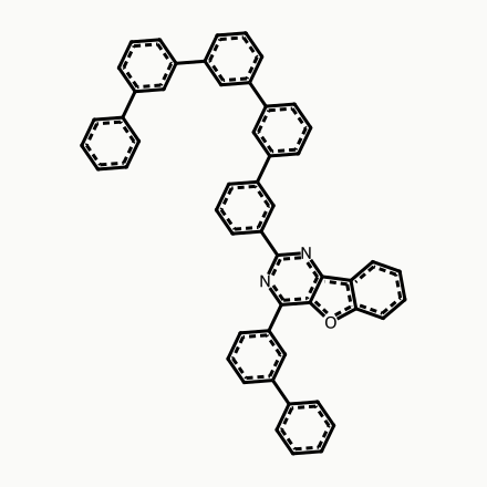 c1ccc(-c2cccc(-c3cccc(-c4cccc(-c5cccc(-c6nc(-c7cccc(-c8ccccc8)c7)c7oc8ccccc8c7n6)c5)c4)c3)c2)cc1